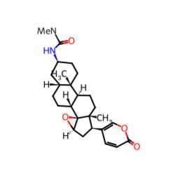 CNC(=O)N[C@H]1CC[C@@]2(C)[C@H](CC[C@@H]3[C@@H]2CC[C@]2(C)[C@@H](c4ccc(=O)oc4)C[C@H]4O[C@]342)C1